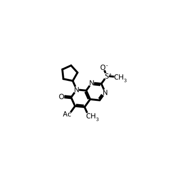 CC(=O)c1c(C)c2cnc([S+](C)[O-])nc2n(C2CCCC2)c1=O